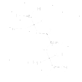 CCCCCCCC(C)(OC(=O)C(=O)OC(C)(CCCCCCC)N(C)C)N(C)C